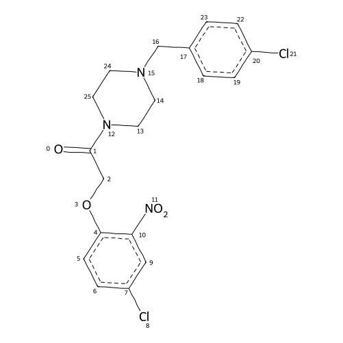 O=C(COc1ccc(Cl)cc1[N+](=O)[O-])N1CCN(Cc2ccc(Cl)cc2)CC1